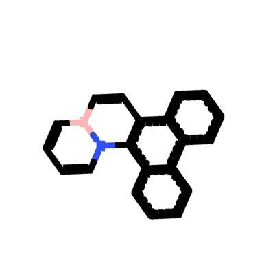 C1=CB2C=Cc3c(c4ccccc4c4ccccc34)N2C=C1